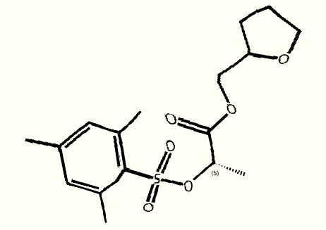 Cc1cc(C)c(S(=O)(=O)O[C@@H](C)C(=O)OCC2CCCO2)c(C)c1